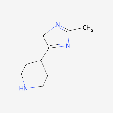 CC1=NCC(C2CCNCC2)=N1